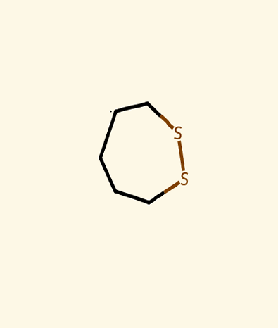 [CH]1CCCSSC1